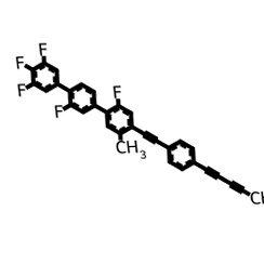 CC#CC#Cc1ccc(C#Cc2cc(F)c(-c3ccc(-c4cc(F)c(F)c(F)c4)c(F)c3)cc2C)cc1